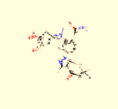 Cc1nn(-c2ccc(C(N)=O)c(NC3C[C@@H](O)[C@@H](O)C3)c2)c2c1C(=O)CC(C)(C)C2